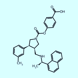 Cc1cccc([C@H]2CN(C(=O)Oc3ccc(C(=O)O)cc3)C[C@H]2CN[C@H](C)c2cccc3ccccc23)c1